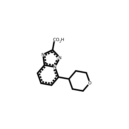 O=C(O)c1nc2cccc(C3CCOCC3)n2n1